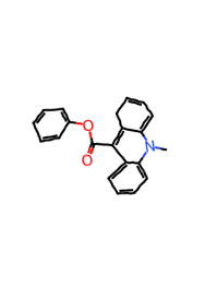 CN1C2=CC=CCC2=C(C(=O)Oc2ccccc2)c2ccccc21